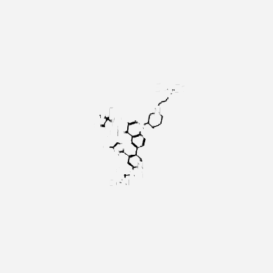 CCNC(=O)Nc1cc(-c2nc(C(F)(F)F)cs2)c(-c2ccc3c(c2)c(=O)c(C(=O)O)cn3C2CCCN(CCN(CC)CC)C2)cn1.O=C(O)C(F)(F)F